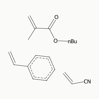 C=C(C)C(=O)OCCCC.C=CC#N.C=Cc1ccccc1